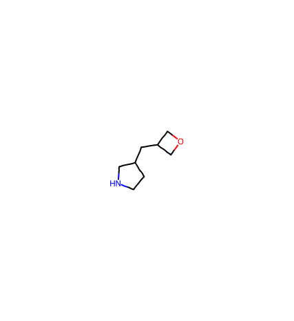 C1CC(CC2COC2)CN1